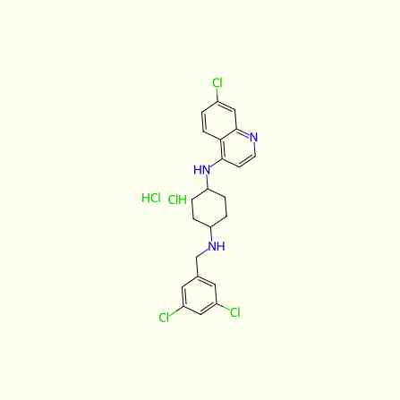 Cl.Cl.Clc1cc(Cl)cc(CNC2CCC(Nc3ccnc4cc(Cl)ccc34)CC2)c1